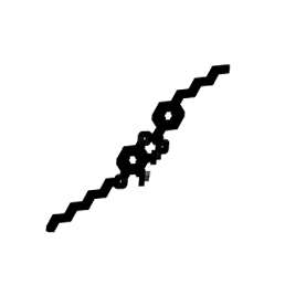 CCCCCCCCOc1ccc(OC(=O)c2ccc(CCCCCC)cc2)c(F)c1F